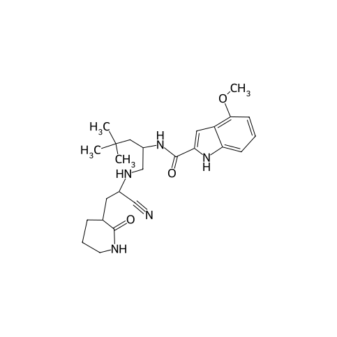 COc1cccc2[nH]c(C(=O)NC(CNC(C#N)CC3CCCNC3=O)CC(C)(C)C)cc12